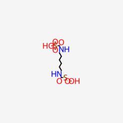 O=C(NCCCCCCNC(=O)S(=O)(=O)O)SOO